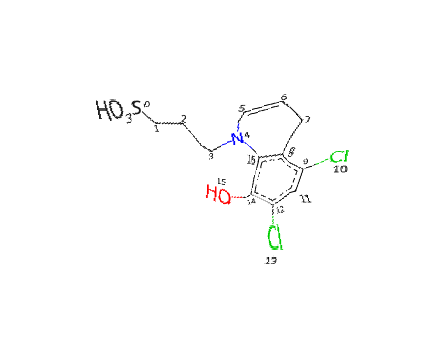 O=S(=O)(O)CCCN1C=CCc2c(Cl)cc(Cl)c(O)c21